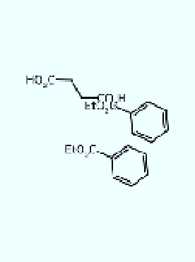 CCOC(=O)c1ccccc1.CCOC(=O)c1ccccc1.O=C(O)CCC(=O)O